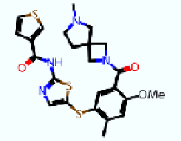 COc1cc(C)c(Sc2cnc(NC(=O)c3ccsc3)s2)cc1C(=O)N1CC2(CCN(C)C2)C1